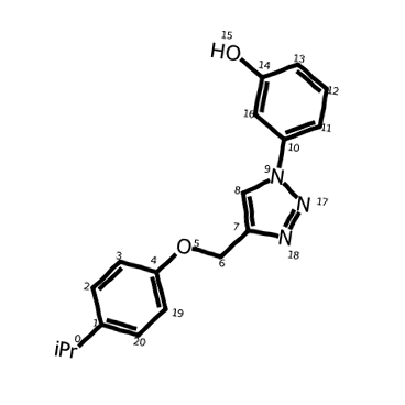 CC(C)c1ccc(OCc2cn(-c3cccc(O)c3)nn2)cc1